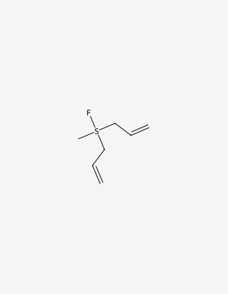 C=CCS(C)(F)CC=C